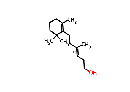 CC1=C(CC/C(C)=C/CCO)C(C)(C)CCC1